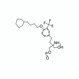 NC(CO)(CCc1ccc(OCCCCC2CCCCC2)c(C(F)(F)F)c1)COP=O